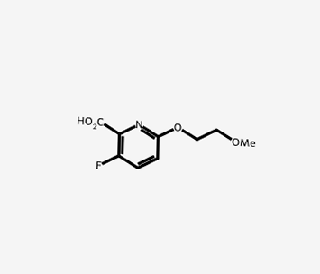 COCCOc1ccc(F)c(C(=O)O)n1